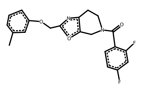 Cc1cccc(OCc2nc3c(o2)CN(C(=O)c2ccc(F)cc2F)CC3)c1